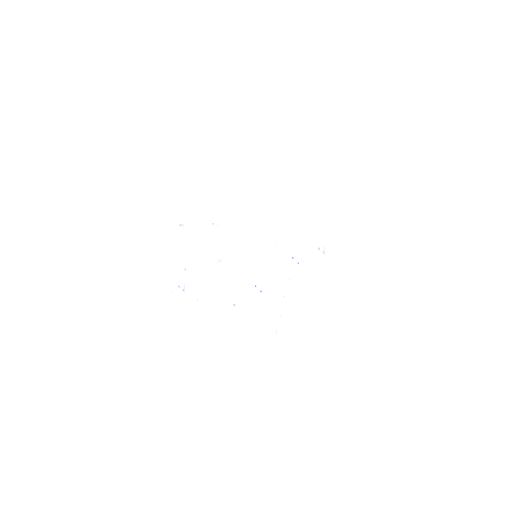 CCc1nn(C)c(C(=O)NCc2cnc(SC(C)C)s2)c1Cl